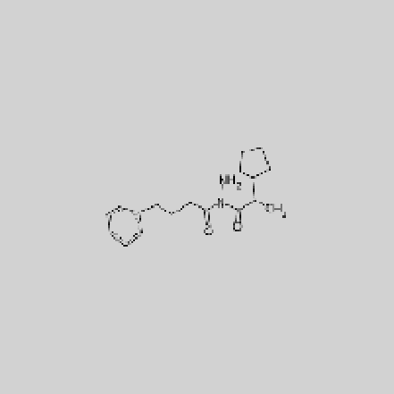 CC(C(=O)N(N)C(=O)CCCc1ccccc1)C1CCCC1